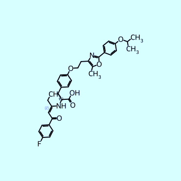 CC/C(=C/C(=O)c1ccc(F)cc1)N[C@@H](Cc1ccc(OCCc2nc(-c3ccc(OC(C)C)cc3)oc2C)cc1)C(=O)O